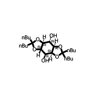 CCCCC1(CCCC)O[C@@H]2[C@@H](O)[C@@H]3OC(CCCC)(CCCC)O[C@H]3[C@H](O)[C@@H]2O1